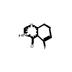 O=c1[nH]cnc2c1C(F)=CCC2